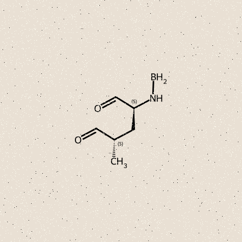 BN[C@H](C=O)C[C@H](C)C=O